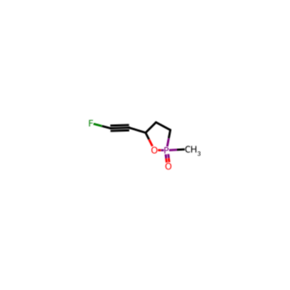 CP1(=O)CCC(C#CF)O1